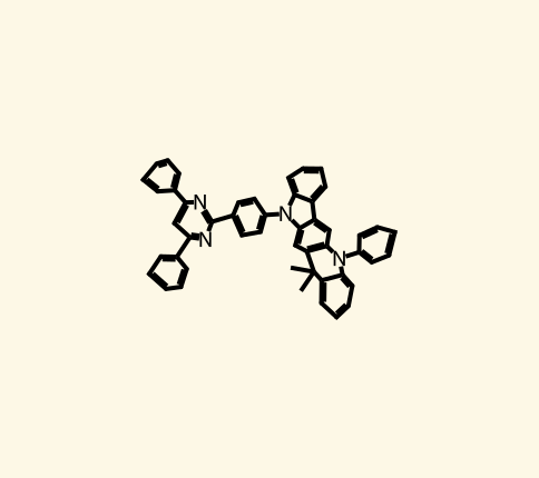 CC1(C)c2ccccc2N(c2ccccc2)c2cc3c4ccccc4n(-c4ccc(-c5nc(-c6ccccc6)cc(-c6ccccc6)n5)cc4)c3cc21